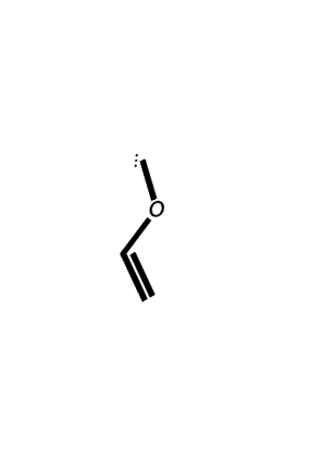 [C]OC=C